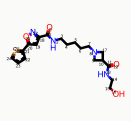 O=C(NCCCCCN1CC(C(=O)NCCO)C1)c1cc(-c2cccs2)on1